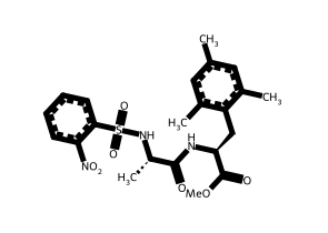 COC(=O)[C@H](Cc1c(C)cc(C)cc1C)NC(=O)[C@H](C)NS(=O)(=O)c1ccccc1[N+](=O)[O-]